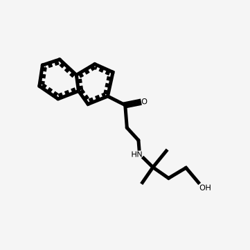 CC(C)(CCO)NCCC(=O)c1ccc2ccccc2c1